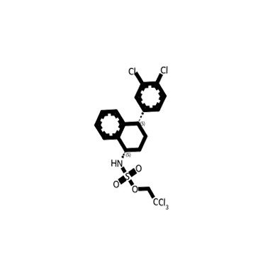 O=S(=O)(N[C@H]1CC[C@@H](c2ccc(Cl)c(Cl)c2)c2ccccc21)OCC(Cl)(Cl)Cl